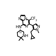 Cn1ncc(-c2nc(N[C@H]3CCC(C)(C)NC3)c3nccn3c2C(F)(F)F)c1CC1CC1